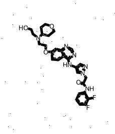 O=C(Cn1cc(Nc2ncnc3cc(OCCN(CCO)C4CCOCC4)ccc23)cn1)Nc1cccc(F)c1F